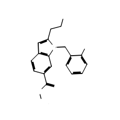 CCCc1cc2ccc(C(=O)OC)cc2n1Cc1ccccc1Cl